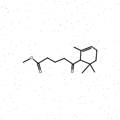 COC(=O)CCCC(=O)C1C(C)=CCCC1(C)C